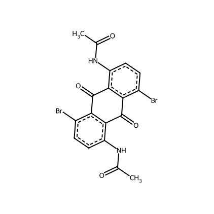 CC(=O)Nc1ccc(Br)c2c1C(=O)c1c(Br)ccc(NC(C)=O)c1C2=O